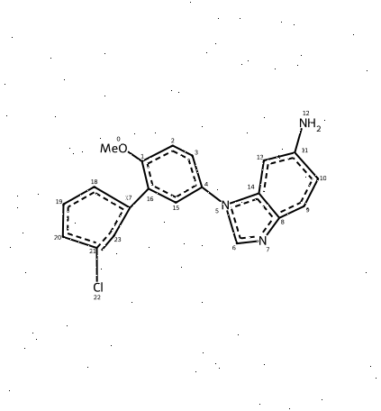 COc1ccc(-n2cnc3ccc(N)cc32)cc1-c1cccc(Cl)c1